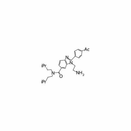 CC(=O)c1ccc(-c2nc3ccc(C(=O)N(CCC(C)C)CCC(C)C)cc3n2CCN)cc1